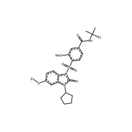 CCOc1ccc2c(c1)n(C1CCCC1)c(=O)n2S(=O)(=O)c1ccc(C(=O)NC(C)(C)CC)cc1OC